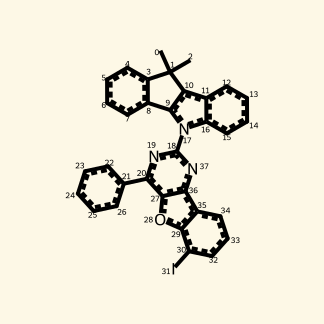 CC1(C)c2ccccc2-c2c1c1ccccc1n2-c1nc(-c2ccccc2)c2oc3c(I)cccc3c2n1